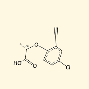 C#Cc1cc(Cl)ccc1O[C@@H](C)C(=O)O